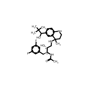 CC(=O)N[C@@H](Cc1cc(F)cc(F)c1)[C@H](O)CNC1(C)CCNc2ccc(C(O)C(C)(C)C)cc21